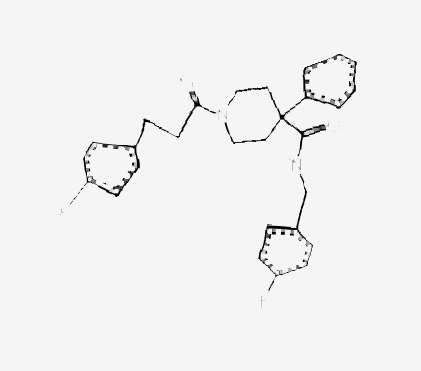 O=C(CCc1ccc(F)cc1)N1CCC(C(=O)NCc2ccc(F)cc2)(c2ccccc2)CC1